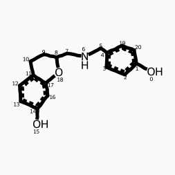 Oc1ccc(CNCC2CCc3ccc(O)cc3O2)cc1